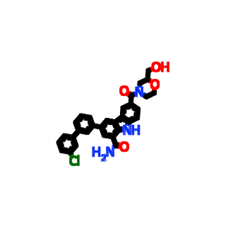 NC(=O)c1cc(-c2cccc(-c3cccc(Cl)c3)c2)cc2c1[nH]c1ccc(C(=O)N3CCOC(CO)C3)cc12